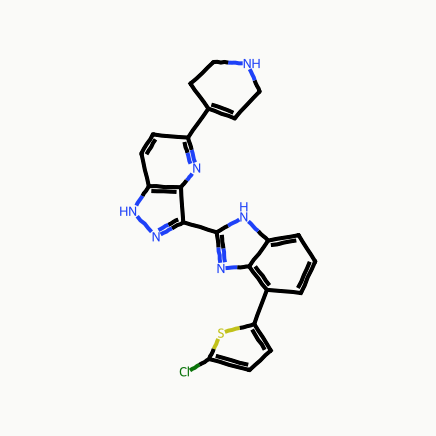 Clc1ccc(-c2cccc3[nH]c(-c4n[nH]c5ccc(C6=CCNCC6)nc45)nc23)s1